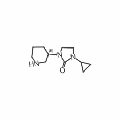 O=C1N(C2CC2)CCN1[C@@H]1CCCNC1